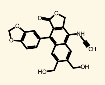 C#CNc1c2c(c(-c3ccc4c(c3)OCO4)c3cc(CO)c(CO)cc13)C(=O)OC2